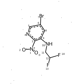 O=[N+]([O-])c1ncc(Br)cc1NCC(F)F